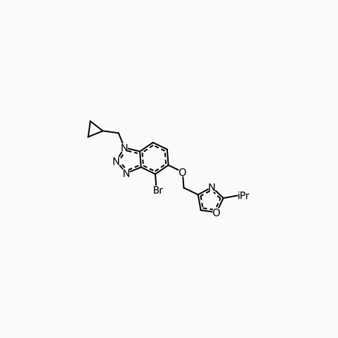 CC(C)c1nc(COc2ccc3c(nnn3CC3CC3)c2Br)co1